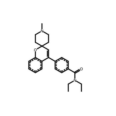 CCN(CC)C(=O)c1ccc(C2=CC3(CCN(C)CC3)Oc3ccccc32)cc1